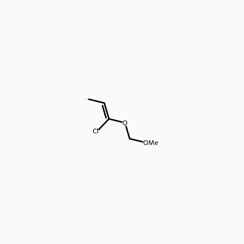 [CH2]C=C(Cl)OCOC